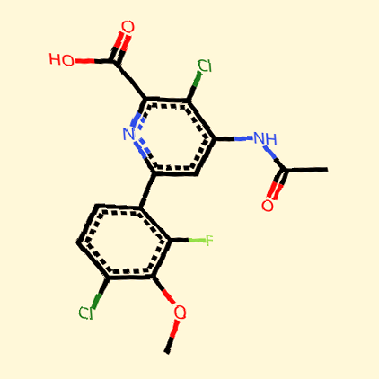 COc1c(Cl)ccc(-c2cc(NC(C)=O)c(Cl)c(C(=O)O)n2)c1F